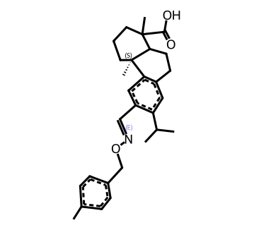 Cc1ccc(CO/N=C/c2cc3c(cc2C(C)C)CCC2C(C)(C(=O)O)CCC[C@]32C)cc1